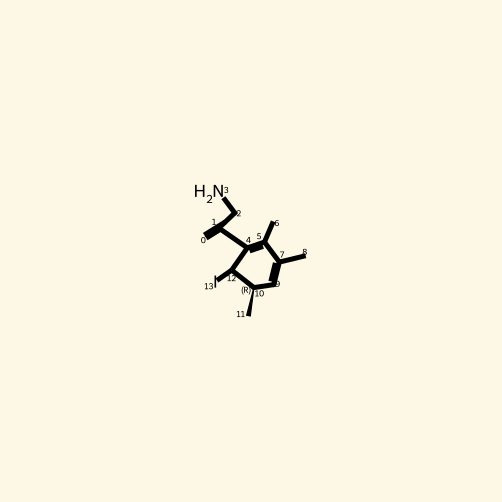 C=C(CN)C1=C(C)C(C)=C[C@@H](C)C1I